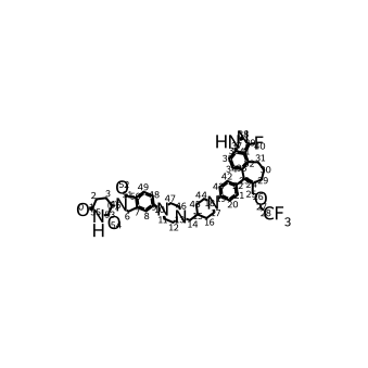 O=C1CC[C@H](N2Cc3cc(N4CCN(CC5CCN(c6ccc(C7=C(COCC(F)(F)F)CCCc8c7ccc7[nH]nc(F)c87)cc6)CC5)CC4)ccc3C2=O)C(=O)N1